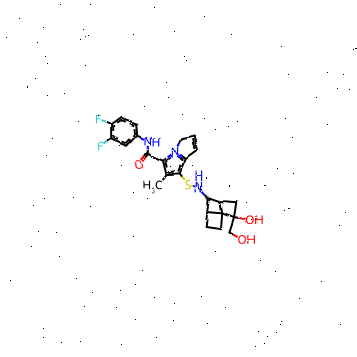 Cc1c(SNC2C3CCC34C2CC4(O)CO)c2n(c1C(=O)Nc1ccc(F)c(F)c1)CC=C2